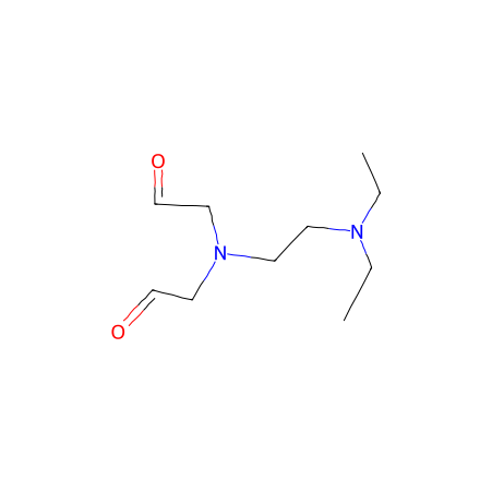 CCN(CC)CCN(CC=O)CC=O